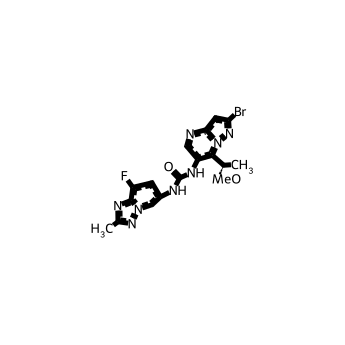 CO[C@@H](C)c1c(NC(=O)Nc2cc(F)c3nc(C)nn3c2)cnc2cc(Br)nn12